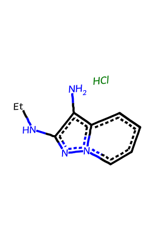 CCNc1nn2ccccc2c1N.Cl